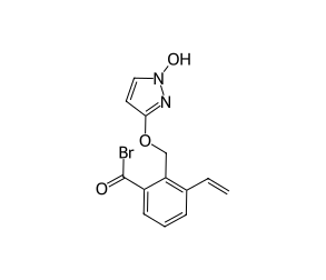 C=Cc1cccc(C(=O)Br)c1COc1ccn(O)n1